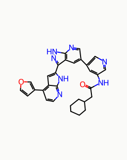 O=C(CC1CCCCC1)Nc1cncc(-c2cnc3[nH]nc(-c4cc5c(-c6ccoc6)ccnc5[nH]4)c3c2)c1